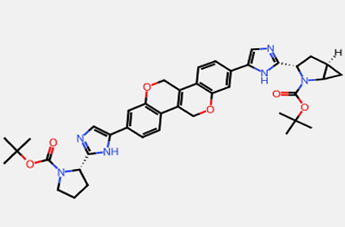 CC(C)(C)OC(=O)N1CCC[C@H]1c1ncc(-c2ccc3c(c2)OCC2=C3COc3cc(-c4cnc([C@@H]5C[C@H]6CC6N5C(=O)OC(C)(C)C)[nH]4)ccc32)[nH]1